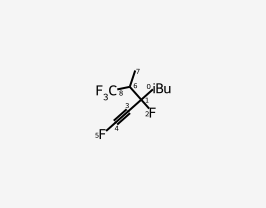 CCC(C)C(F)(C#CF)C(C)C(F)(F)F